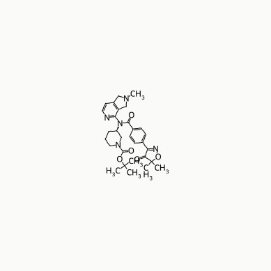 CN1Cc2ccnc(N(C(=O)c3ccc(C4=NOC(C)(C)C4=O)cc3)[C@@H]3CCCN(C(=O)OC(C)(C)C)C3)c2C1